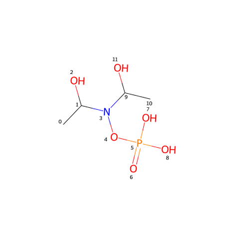 CC(O)N(OP(=O)(O)O)C(C)O